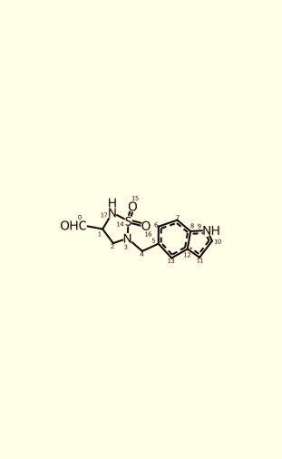 O=CC1CN(Cc2ccc3[nH]ccc3c2)S(=O)(=O)N1